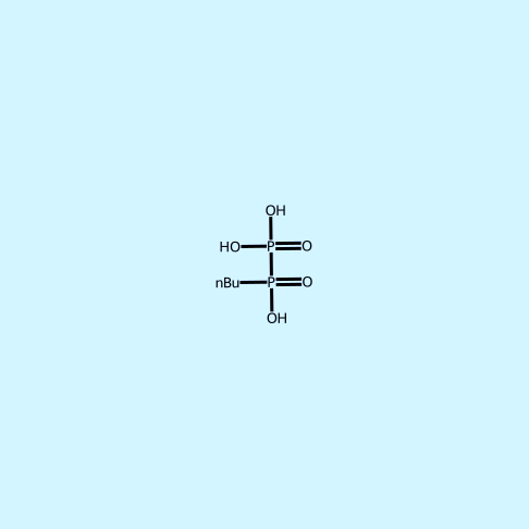 CCCCP(=O)(O)P(=O)(O)O